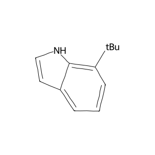 CC(C)(C)c1cccc2cc[nH]c12